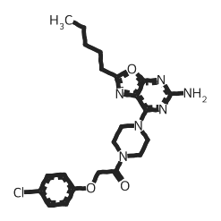 CCCCCc1nc2c(N3CCN(C(=O)COc4ccc(Cl)cc4)CC3)nc(N)nc2o1